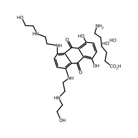 Cl.Cl.NCCCCCC(=O)O.O=C1c2c(O)ccc(O)c2C(=O)c2c(NCCNCCO)ccc(NCCNCCO)c21